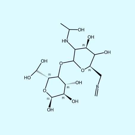 C=BC[C@H]1OC(OC2[C@@H](C(O)O)O[C@H](O)[C@H](O)[C@H]2O)C(NC(C)O)[C@@H](O)C1O